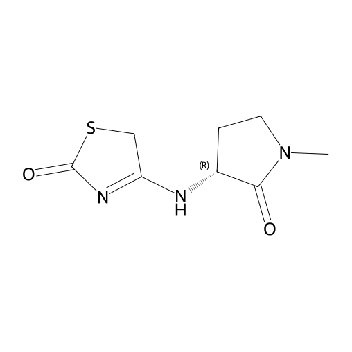 CN1CC[C@@H](NC2=NC(=O)SC2)C1=O